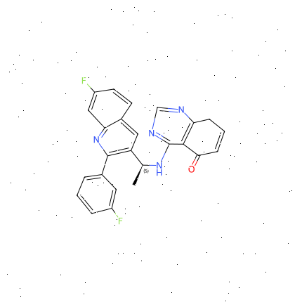 C[C@H](Nc1ncnc2c1C(=O)C=CC2)c1cc2ccc(F)cc2nc1-c1cccc(F)c1